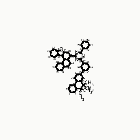 CC1(C)c2ccccc2-c2ccc(-c3cccc(-c4nc(-c5ccccc5)nc(-c5cc6oc7ccccc7c6c6c5ccc5ccccc56)n4)c3)cc2C1(C)C